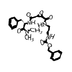 CN(C)C(=O)[C@H](Cc1ccccc1)NC(=O)C1OC1C(=O)NCCNC(=O)OCc1ccccc1